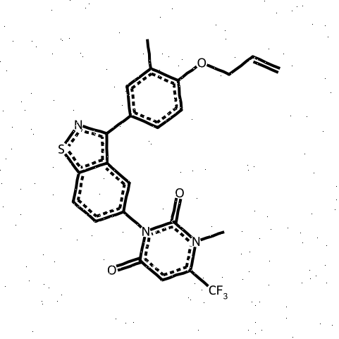 C=CCOc1ccc(-c2nsc3ccc(-n4c(=O)cc(C(F)(F)F)n(C)c4=O)cc23)cc1C